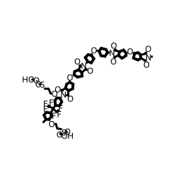 Cc1ccc(C(c2ccc(N3C(=O)c4ccc(Oc5ccc6c(c5)C(=O)N(c5ccc(Oc7ccc(N8C(=O)c9ccc(Oc%10ccc%11c(c%10)C(=O)N(C)C%11=O)cc9C8=O)cc7)cc5)C6=O)cc4C3=O)c(OCCCSOOO)c2)(C(F)(F)F)C(F)(F)F)cc1OCCCS(=O)(=O)O